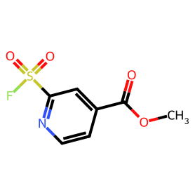 COC(=O)c1ccnc(S(=O)(=O)F)c1